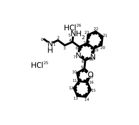 CNCCC(N)c1nc(-c2cc3ccccc3o2)nc2ccccc12.Cl.Cl